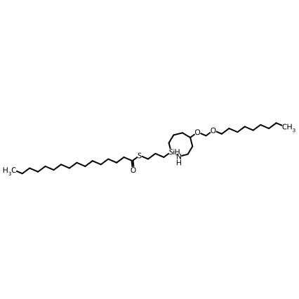 CCCCCCCCCCCCCCCC(=O)SCCC[SiH]1CCCC(OCOCCCCCCCCC)CCN1